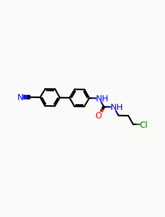 N#Cc1ccc(-c2ccc(NC(=O)NCCCCl)cc2)cc1